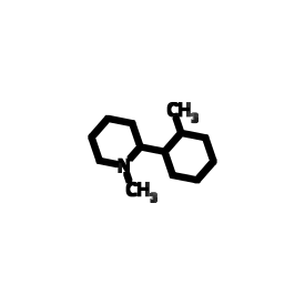 CC1CCCCC1C1CCCCN1C